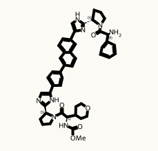 COC(=O)N[C@H](C(=O)N1CCC[C@H]1c1ncc(-c2ccc(-c3ccc4cc(-c5c[nH]c([C@@H]6CCCN6C(=O)[C@H](N)c6ccccc6)n5)ccc4c3)cc2)[nH]1)C1CCOCC1